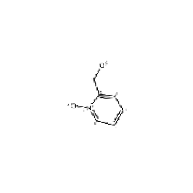 [O]Cc1cccc[n+]1[O-]